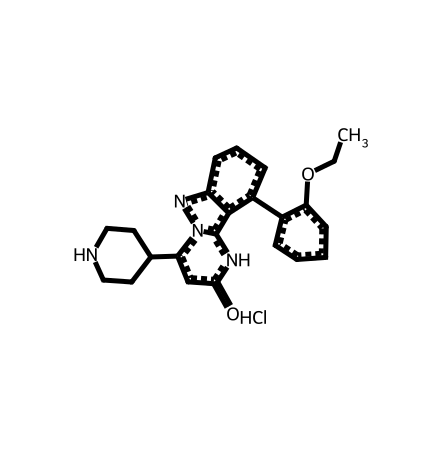 CCOc1ccccc1-c1cccc2nn3c(C4CCNCC4)cc(=O)[nH]c3c12.Cl